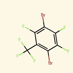 Fc1c(F)c(Br)c(C(F)(F)F)c(F)c1Br